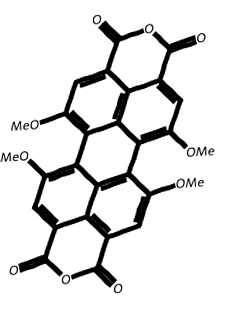 COc1cc2c3c(cc(OC)c4c5c(OC)cc6c7c(cc(OC)c(c1c34)c75)C(=O)OC6=O)C(=O)OC2=O